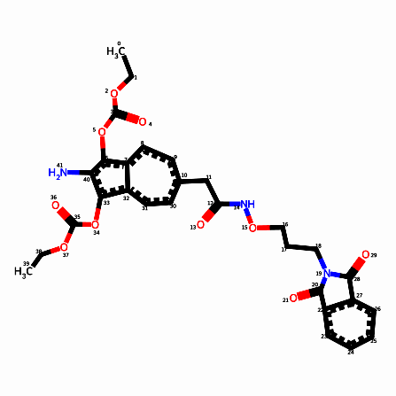 CCOC(=O)Oc1c2ccc(CC(=O)NOCCCN3C(=O)c4ccccc4C3=O)ccc-2c(OC(=O)OCC)c1N